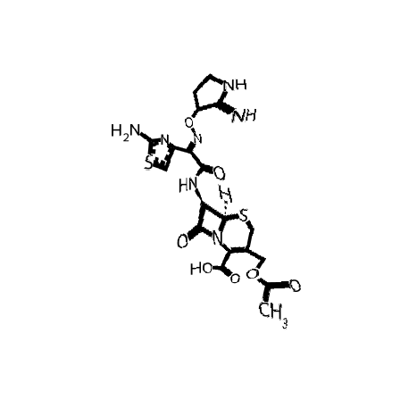 CC(=O)OCC1=C(C(=O)O)N2C(=O)[C@@H](NC(=O)/C(=N/OC3CCNC3=N)c3csc(N)n3)[C@H]2SC1